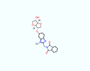 CCn1c(CN2C(=O)c3ccccc3C2=O)nc2ccc(O[C@H]3CO[C@H]4[C@@H]3OC[C@@H]4O)cc21